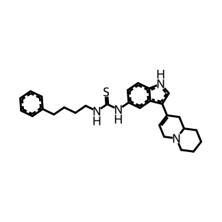 S=C(NCCCCc1ccccc1)Nc1ccc2[nH]cc(C3=CCN4CCCCC4C3)c2c1